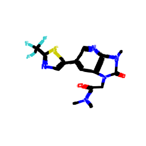 CN(C)C(=O)Cn1c(=O)n(C)c2ncc(-c3cnc(C(F)(F)F)s3)cc21